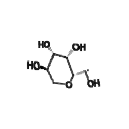 O[CH][C@@H]1OC[C@@H](O)[C@H](O)[C@@H]1O